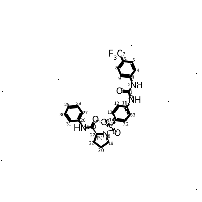 O=C(Nc1ccc(C(F)(F)F)cc1)Nc1ccc(S(=O)(=O)N2CCC[C@H]2C(=O)Nc2ccccc2)cc1